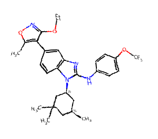 CCOc1noc(C)c1-c1ccc2c(c1)nc(Nc1ccc(OC(F)(F)F)cc1)n2[C@H]1C[C@@H](C)CC(C)(C)C1